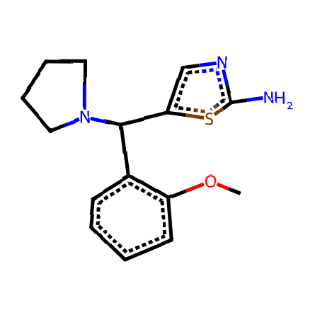 COc1ccccc1C(c1cnc(N)s1)N1CCCC1